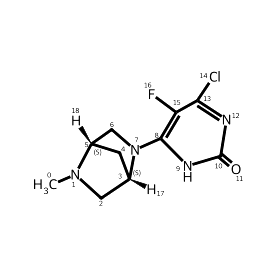 CN1C[C@@H]2C[C@H]1CN2c1[nH]c(=O)nc(Cl)c1F